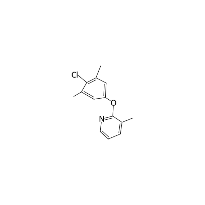 Cc1cccnc1Oc1cc(C)c(Cl)c(C)c1